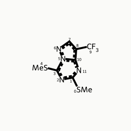 CSc1nc(SC)n2ncc(C(F)(F)F)c2n1